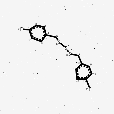 Fc1ccc(CSSSCc2ccc(F)cc2)cc1